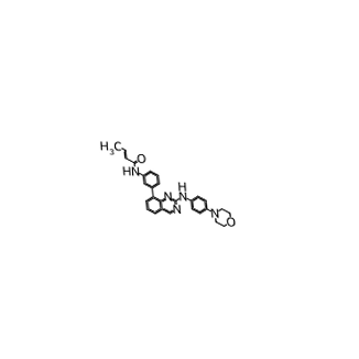 CC=CC(=O)Nc1cccc(-c2cccc3cnc(Nc4ccc(N5CCOCC5)cc4)nc23)c1